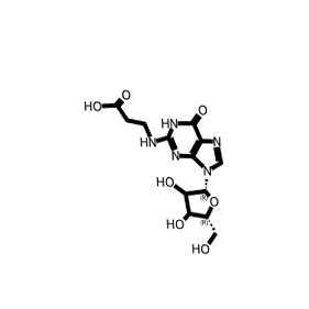 O=C(O)CCNc1nc2c(ncn2[C@@H]2O[C@H](CO)C(O)C2O)c(=O)[nH]1